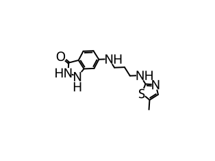 Cc1cnc(NCCCNc2ccc3c(=O)[nH][nH]c3c2)s1